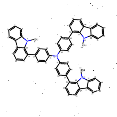 CCC(C)n1c2ccccc2c2cccc(-c3ccc(N(c4ccc(-c5cccc6c7ccccc7n(C(C)CC)c56)cc4)c4ccc(-c5cccc6c7ccccc7n(C(C)CC)c56)cc4)cc3)c21